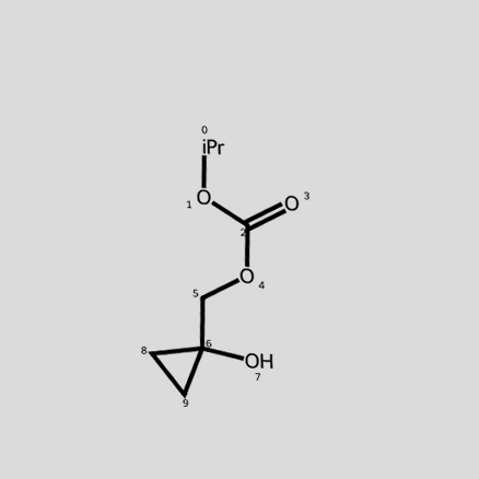 CC(C)OC(=O)OCC1(O)CC1